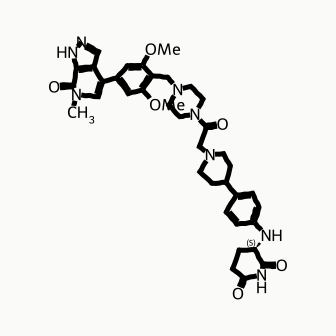 COc1cc(-c2cn(C)c(=O)c3[nH]ncc23)cc(OC)c1CN1CCN(C(=O)CN2CCC(c3ccc(N[C@H]4CCC(=O)NC4=O)cc3)CC2)CC1